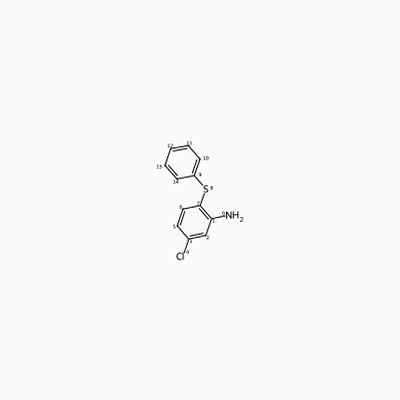 Nc1cc(Cl)ccc1Sc1ccccc1